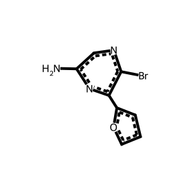 Nc1cnc(Br)c(-c2ccco2)n1